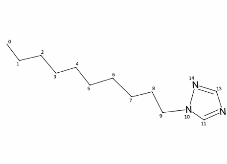 CCCCCCCCCCn1cncn1